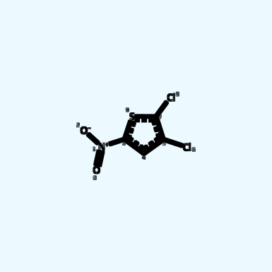 O=[N+]([O-])c1cc(Cl)c(Cl)s1